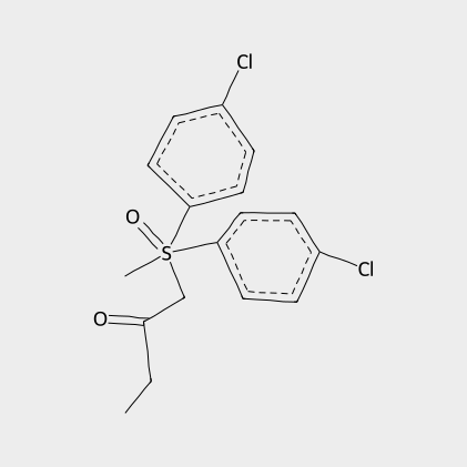 CCC(=O)CS(C)(=O)(c1ccc(Cl)cc1)c1ccc(Cl)cc1